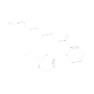 CCCCCCN=CCCCOC(=O)c1ccccc1.O=C(O)c1ccccc1